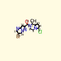 CC1c2ccc(Cl)n2CCN1C(=O)c1cc2ncc(Br)cn2n1